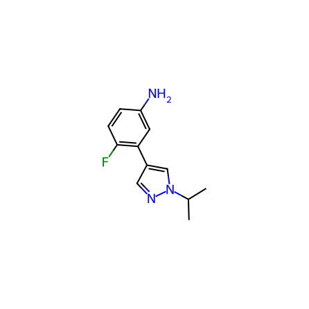 CC(C)n1cc(-c2cc(N)ccc2F)cn1